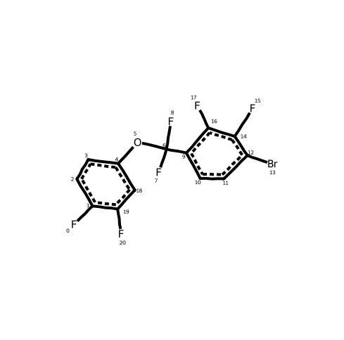 Fc1ccc(OC(F)(F)c2ccc(Br)c(F)c2F)cc1F